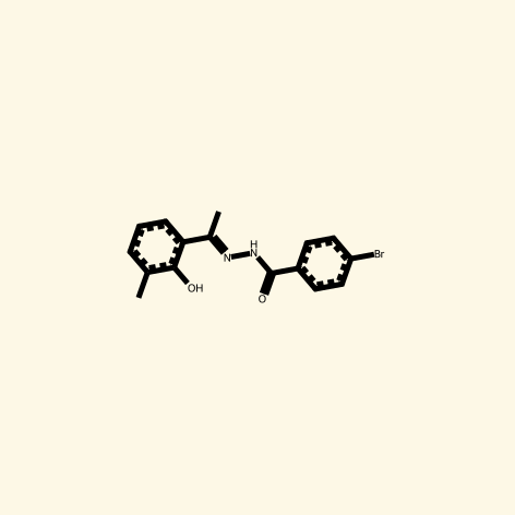 C/C(=N\NC(=O)c1ccc(Br)cc1)c1cccc(C)c1O